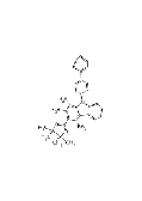 Bc1c(B2OC(C)(C)C(C)(C)O2)c(B)c2c3ccccc3n(-c3ccc(-c4ccccc4)cc3)c2c1B